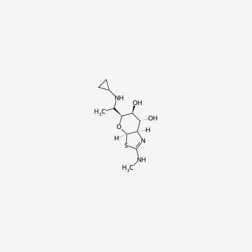 CNC1=N[C@@H]2[C@@H](O)[C@H](O)[C@H](C(C)NC3CC3)O[C@@H]2S1